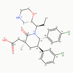 CC[C@H]([C@@H]1CNCCO1)N1C(=O)[C@](C)(CC(=O)O)C[C@H](c2cccc(Cl)c2)[C@H]1c1ccc(Cl)cc1